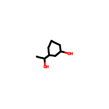 CC(O)C1CCCC(O)C1